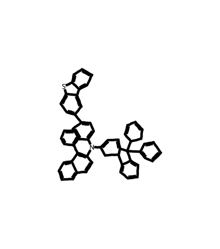 C1=CCC(C2(c3ccccc3)C3=CC=C(N(c4ccc(-c5ccc6sc7ccccc7c6c5)cc4)c4ccc5ccccc5c4-c4ccccc4)CC3c3ccccc32)C=C1